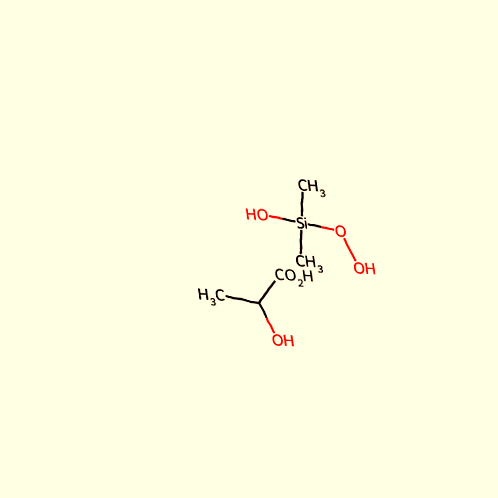 CC(O)C(=O)O.C[Si](C)(O)OO